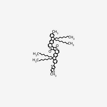 CCCCCCCCC1(CCCCCCCC)c2cc(C)ccc2-c2cc3c(cc21)C1=C2C(=O)N4C=Cc5cc6c(cc5C4=C2C(=O)N1C=C3)C(CCCCCCCC)(CCCCCCCC)c1cc(-c2cc3sc(C)cc3s2)ccc1-6